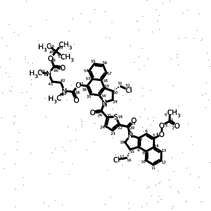 CC(=O)OOc1cc2c(c3ccccc13)[C@H](CCl)CN2C(=O)c1ccc(C(=O)N2C[C@@H](CCl)c3c2cc(OC(=O)N(C)CCN(C)C(=O)OC(C)(C)C)c2ccccc32)s1